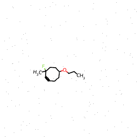 CCCOC1CCC#CC(C)(F)CC1